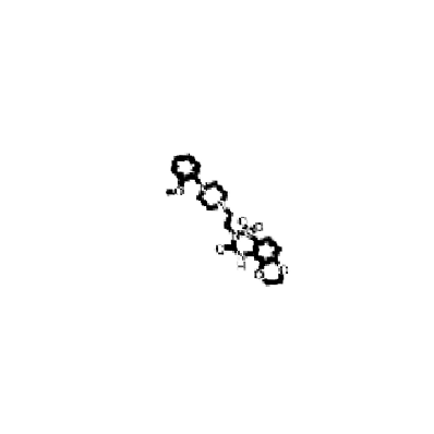 COc1ccccc1N1CCN(CCN2C(=O)Nc3c(ccc4c3OCCO4)S2(=O)=O)CC1